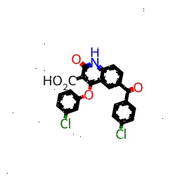 O=C(c1ccc(Cl)cc1)c1ccc2[nH]c(=O)c(C(=O)O)c(Oc3cccc(Cl)c3)c2c1